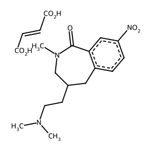 CN(C)CCC1Cc2ccc([N+](=O)[O-])cc2C(=O)N(C)C1.O=C(O)/C=C/C(=O)O